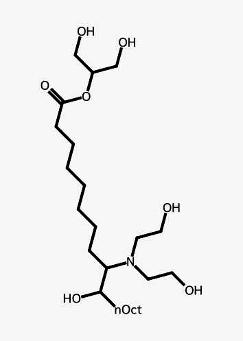 CCCCCCCCC(O)C(CCCCCCCC(=O)OC(CO)CO)N(CCO)CCO